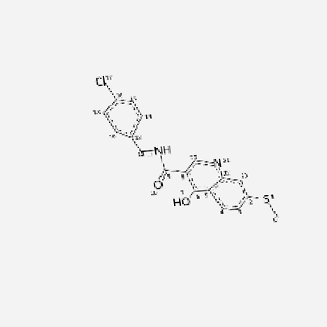 CSc1ccc2c(O)c(C(=O)NCc3ccc(Cl)cc3)cnc2c1